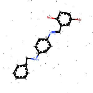 Oc1ccc(Br)cc1/C=N/c1ccc(NCc2ccccc2)cc1